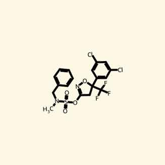 CN(Cc1ccccc1)S(=O)(=O)OC1=NOC(c2cc(Cl)cc(Cl)c2)(C(F)(F)F)C1